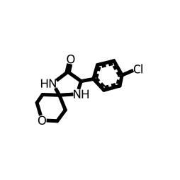 O=C1NC2(CCOCC2)NC1c1ccc(Cl)cc1